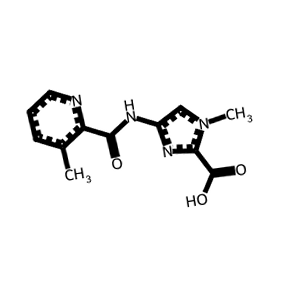 Cc1cccnc1C(=O)Nc1cn(C)c(C(=O)O)n1